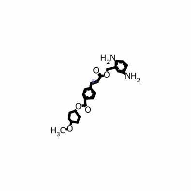 COC1CCC(OC(=O)c2ccc(/C=C/C(=O)OCc3cc(N)ccc3N)cc2)CC1